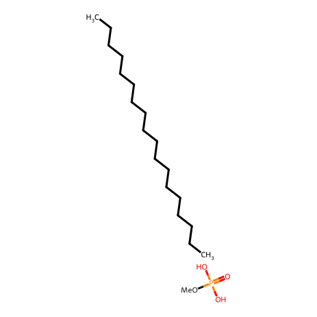 CCCCCCCCCCCCCCCCCC.COP(=O)(O)O